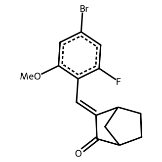 COc1cc(Br)cc(F)c1C=C1C(=O)C2CCC1C2